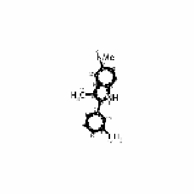 CNc1ccc2[nH]c(-c3cccc(C)c3)c(C)c2c1